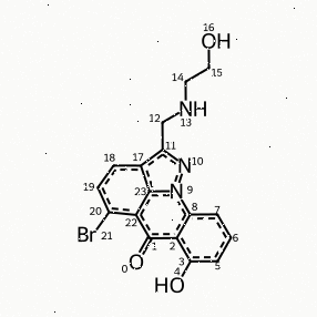 O=c1c2c(O)cccc2n2nc(CNCCO)c3ccc(Br)c1c32